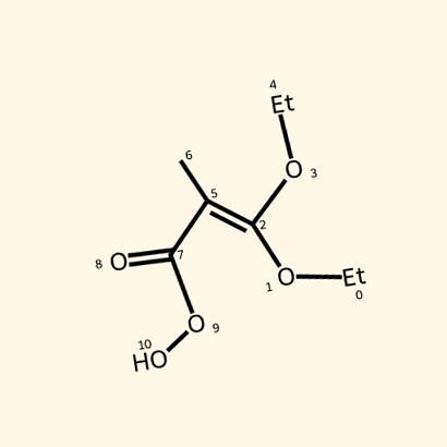 CCOC(OCC)=C(C)C(=O)OO